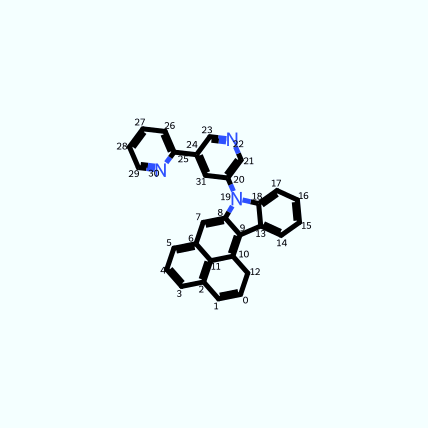 C1=Cc2cccc3cc4c(c(c23)C1)c1ccccc1n4-c1cncc(-c2ccccn2)c1